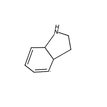 [C]1=CC=CC2NCCC12